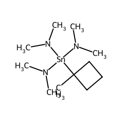 C[N](C)[Sn]([N](C)C)([N](C)C)[C]1(C)CCC1